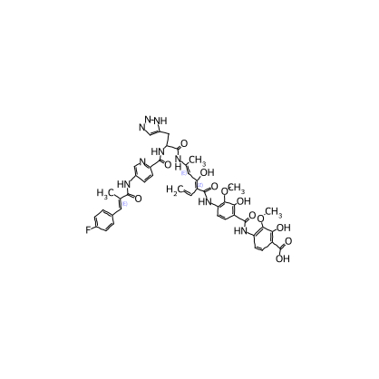 C=C/C(C(=O)Nc1ccc(C(=O)Nc2ccc(C(=O)O)c(O)c2OC)c(O)c1OC)=C(O)\C=C(/C)NC(=O)C(Cc1cnn[nH]1)NC(=O)c1ccc(NC(=O)/C(C)=C/c2ccc(F)cc2)cn1